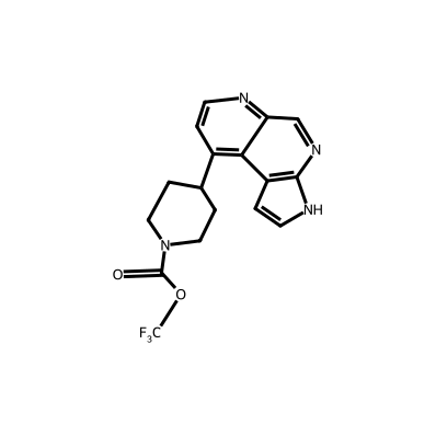 O=C(OC(F)(F)F)N1CCC(c2ccnc3cnc4[nH]ccc4c23)CC1